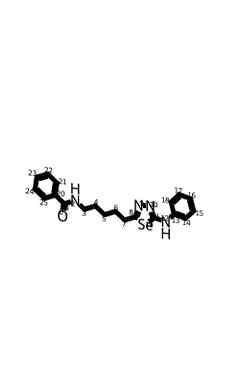 O=C(NCCCCCc1nnc(Nc2ccccc2)[se]1)c1ccccc1